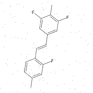 Cc1ccc(C=Cc2cc(F)c(C)c(F)c2)c(F)c1